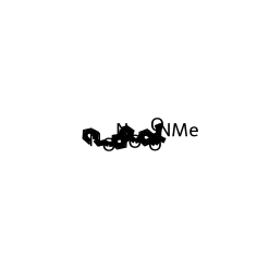 CNC(=O)c1c(C)oc2cc(Oc3ccnc4cc(OCCN5CCCCC5)ccc34)ccc12